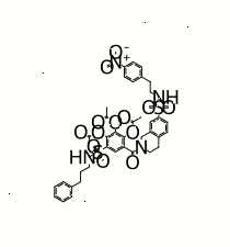 CC(=O)Oc1c(C(=O)N2CCc3ccc(S(=O)(=O)NCCc4ccc([N+](=O)[O-])cc4)cc3C2)cc(S(=O)(=O)NCCCc2ccccc2)c(OC(C)=O)c1OC(C)=O